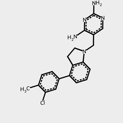 Cc1ccc(-c2cccc3c2CCN3Cc2cnc(N)nc2N)cc1Cl